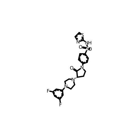 O=C1[C@@H](N2CCN(c3cc(F)cc(F)c3)CC2)CCN1c1ccc(S(=O)(=O)Nc2nccs2)cc1